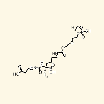 COP(=O)(S)OCCOCCOC(=O)NCCCC[C@](C)(NC(=O)NCCCC(=O)O)C(=O)O